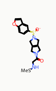 CSNCC(=O)N1CC2=C(C1)CN([S+]([O-])c1ccc3occc3c1)C2